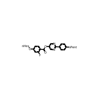 CCCCCCOc1ccc(C(=O)Oc2cnc(-c3ccc(CCCCC)cc3)nc2)c(F)c1